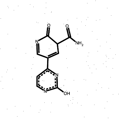 NC(=O)C1C=C(c2ccnc(O)n2)C=NC1=O